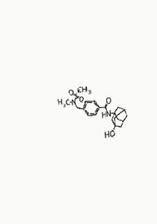 CN(Cc1ccc(C(=O)NC23CC4CC(CC(O)(C4)C2)C3)cc1)S(C)(=O)=O